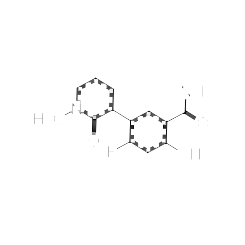 Cc1cc(F)c(-c2cccn(C)c2=O)cc1C(N)=O